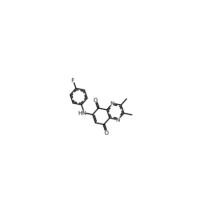 Cc1nc2c(nc1C)C(=O)C(Nc1ccc(F)cc1)=CC2=O